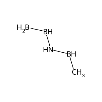 BBNBC